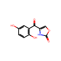 O=C(c1coc(=O)[nH]1)c1cc(O)ccc1O